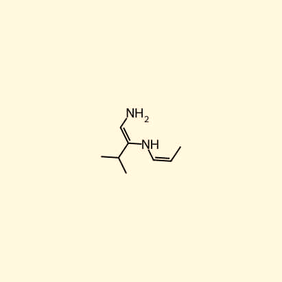 C/C=C\N/C(=C\N)C(C)C